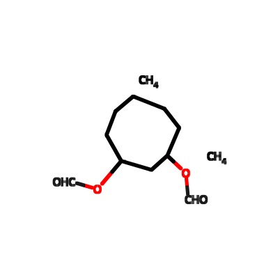 C.C.O=CO[C]1CCCCCC(OC=O)C1